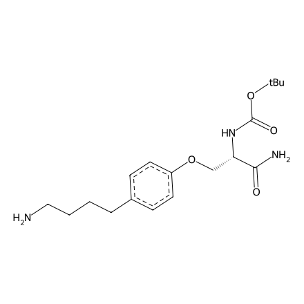 CC(C)(C)OC(=O)N[C@@H](COc1ccc(CCCCN)cc1)C(N)=O